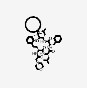 CC(C)C[C@H](NC(=O)[C@H](CCc1ccccc1)NC(=O)CN1CCOCC1)C(=O)N[C@@H](Cc1ccccc1)C(=O)N[C@@H](CC(C)C)C(O)[C@]1(C)OC12CCCCCCCCCCCC2